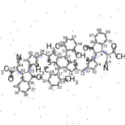 CC(=O)/C(C#N)=C1/C(=c2\cc/c(=C/c3cc4c(-c5c(C)cccc5C)c5sc(/C=c6/cc/c(=C7/C(=O)c8ccccc8/C7=C(/C#N)C(C)=O)s6)cc5c(-c5c(C)cccc5C)c4s3)s2)C(=O)c2ccccc21